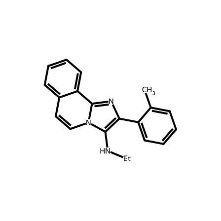 CCNc1c(-c2ccccc2C)nc2c3ccccc3ccn12